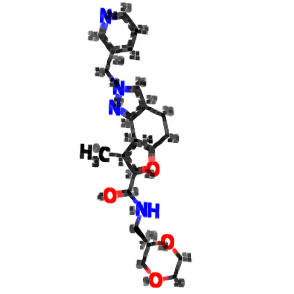 Cc1c(C(=O)NC[C@@H]2COCCO2)oc2c1-c1nn(Cc3cccnc3)cc1CC2